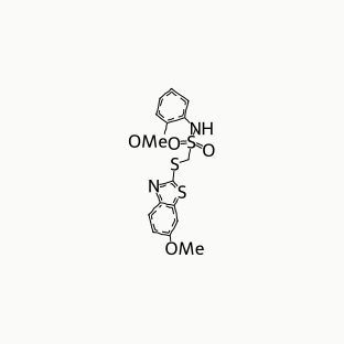 COc1ccc2nc(SCS(=O)(=O)Nc3ccccc3OC)sc2c1